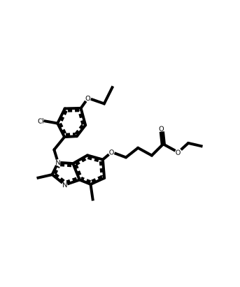 CCOC(=O)CCCOc1cc(C)c2nc(C)n(Cc3ccc(OCC)cc3Cl)c2c1